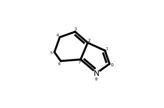 C1=CC2=CCCCC2=N1